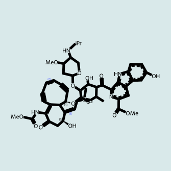 COC(=O)NC1=C2C#C/C=C\C#C[C@H](OC3OC(C)C(C(=O)c4nc(C(=O)OC)cc5c4[nH]c4ccc(O)cc45)C(O)C3OC3CC(OC)C(NC(C)C)CO3)C2/C(=C\CS(C)=S)[C@@H](O)CC1=O